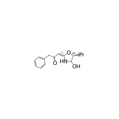 CC(C)[C@@H]1O/C(=C/C(=O)Cc2ccccc2)NC1O